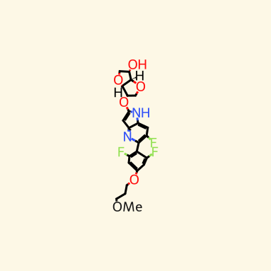 COCCCOc1cc(F)c(-c2nc3cc(O[C@@H]4CO[C@H]5[C@@H]4OC[C@H]5O)[nH]c3cc2F)c(F)c1